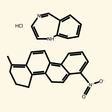 C1=CNc2ccccc2C=N1.CC1=c2ccc3c(c2CCC1)CC=c1c([N+](=O)[O-])cccc1=3.Cl